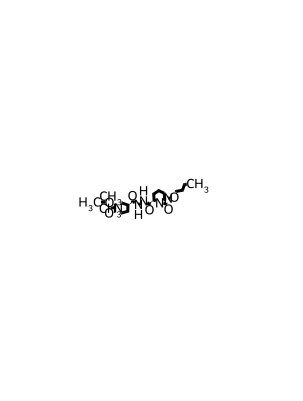 CCCCON1C(=O)N2CC1CC[C@H]2C(=O)NNC(=O)[C@@H]1CCN(C(=O)OC(C)(C)C)C1